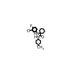 CN1CCC(NC(=O)C2(Nc3ccc(F)c(Cl)c3)C[CH]CCC2)CC1